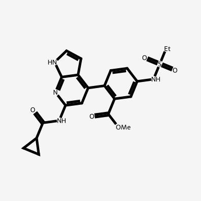 CCS(=O)(=O)Nc1ccc(-c2cc(NC(=O)C3CC3)nc3[nH]ccc23)c(C(=O)OC)c1